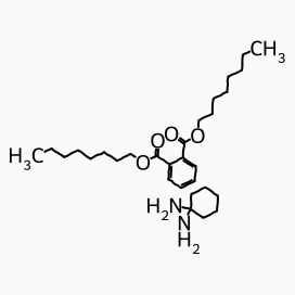 CCCCCCCCOC(=O)c1ccccc1C(=O)OCCCCCCCC.NC1(N)CCCCC1